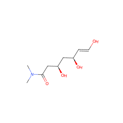 CN(C)C(=O)C[C@H](O)C[C@H](O)/C=C/O